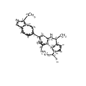 Cc1ncc2ccc(-c3nc(N)nc(N[C@@H](C)c4ccn(C(F)F)n4)n3)cn12